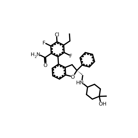 CCc1c(F)c(-c2cccc3c2C[C@@](CNC2CCC(C)(O)CC2)(c2ccccc2)O3)c(C(N)=O)c(F)c1Cl